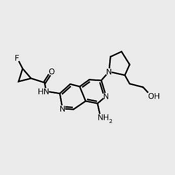 Nc1nc(N2CCCC2CCO)cc2cc(NC(=O)C3CC3F)ncc12